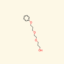 OCCCOCCOCCCOc1ccccc1